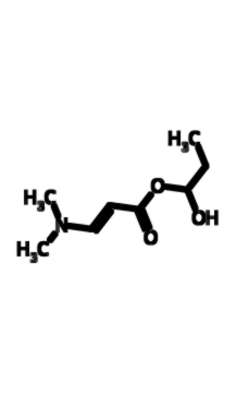 CCC(O)OC(=O)C=CN(C)C